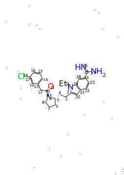 CCn1c(CC[C@@H]2CCCN2C(=O)Cc2cccc(Cl)c2)cc2ccc(C(=N)N)cc21